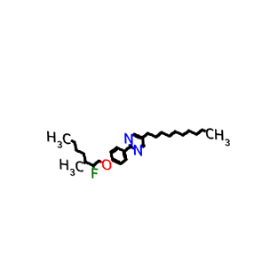 CCCCCCCCCCc1cnc(-c2ccc(OCC(F)C(C)CCCC)cc2)nc1